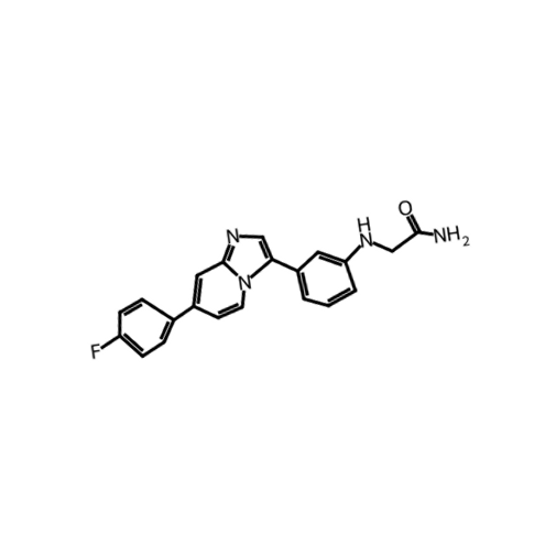 NC(=O)CNc1cccc(-c2cnc3cc(-c4ccc(F)cc4)ccn23)c1